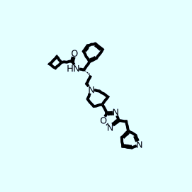 O=C(N[C@@H](CCN1CCC(c2nc(Cc3cccnc3)no2)CC1)c1ccccc1)C1CCC1